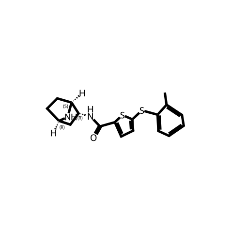 Cc1ccccc1Sc1ccc(C(=O)N[C@@H]2C[C@H]3CC[C@@H]2N3)s1